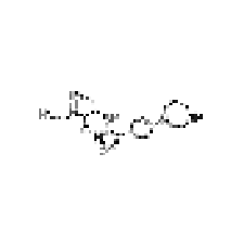 CC(C)C[C@H](Nc1nscc1-c1ccc(N2CCCNCC2)cc1)C(=O)NCC#N